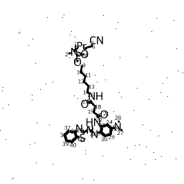 CC(C)N(C)P(OCCC#N)OCCCCCCNC(=O)CCC(=O)Nc1cc(N(C)C)ccc1N=Nc1nc2ccccc2s1